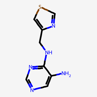 Nc1cncnc1NCc1cscn1